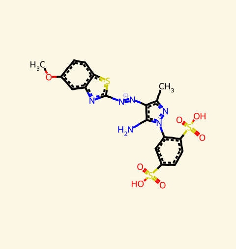 COc1ccc2sc(/N=N/c3c(C)nn(-c4cc(S(=O)(=O)O)ccc4S(=O)(=O)O)c3N)nc2c1